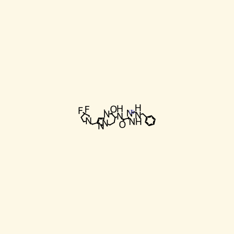 CN1C(=O)C(NC(=O)C(=N)/N=C\NCc2ccccc2)CCn2nc(CN3CCC(F)(F)C3)cc21